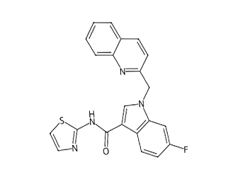 O=C(Nc1nccs1)c1cn(Cc2ccc3ccccc3n2)c2cc(F)ccc12